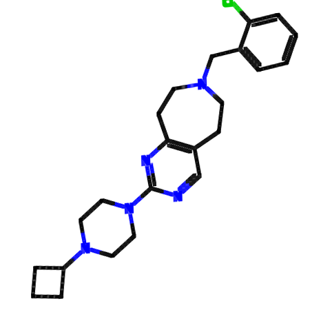 Clc1ccccc1CN1CCc2cnc(N3CCN(C4CCC4)CC3)nc2CC1